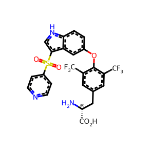 N[C@H](Cc1cc(C(F)(F)F)c(Oc2ccc3[nH]cc(S(=O)(=O)c4ccncc4)c3c2)c(C(F)(F)F)c1)C(=O)O